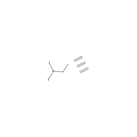 C=C.C=C.C=C.CCP(I)I